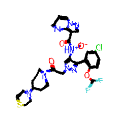 O=C(Cn1cc([NH+]([O-])C(=O)c2cnn3cccnc23)c(-c2cc(Cl)ccc2OC(F)F)n1)N1CCC(N2CCSCC2)CC1